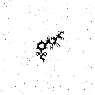 CCS(=O)(=O)c1cccc(C(=O)N[C@@H](C)NC(=O)O)c1